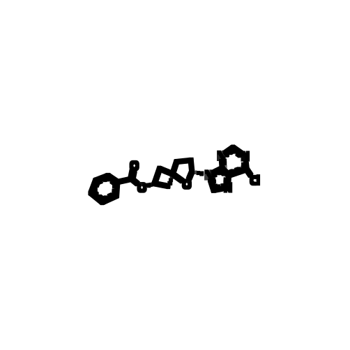 O=C(O[C@H]1C[C@@]2(CC[C@H](n3cnc4c(Cl)ncnc43)O2)C1)c1ccccc1